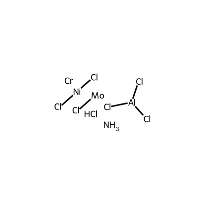 Cl.N.[Cl][Al]([Cl])[Cl].[Cl][Mo].[Cl][Ni][Cl].[Cr]